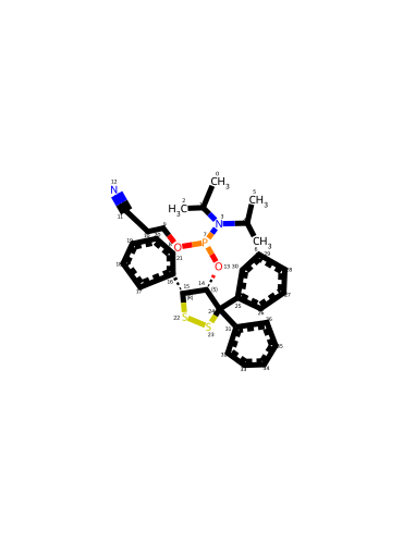 CC(C)N(C(C)C)P(OCCC#N)O[C@H]1[C@@H](c2ccccc2)SSC1(c1ccccc1)c1ccccc1